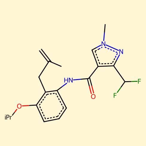 C=C(C)Cc1c(NC(=O)c2cn(C)nc2C(F)F)cccc1OC(C)C